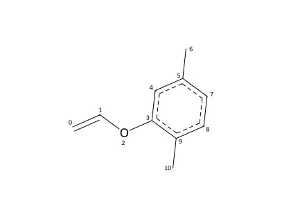 C=COc1cc(C)ccc1C